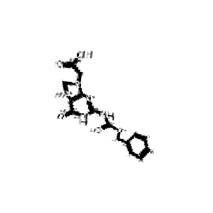 O=C(O)CN1CNc2c1nc(NC(=O)OCc1ccccc1)[nH]c2=O